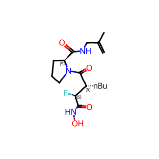 C=C(C)CNC(=O)[C@@H]1CCCN1C(=O)[C@H](CCCC)[C@H](F)C(=O)NO